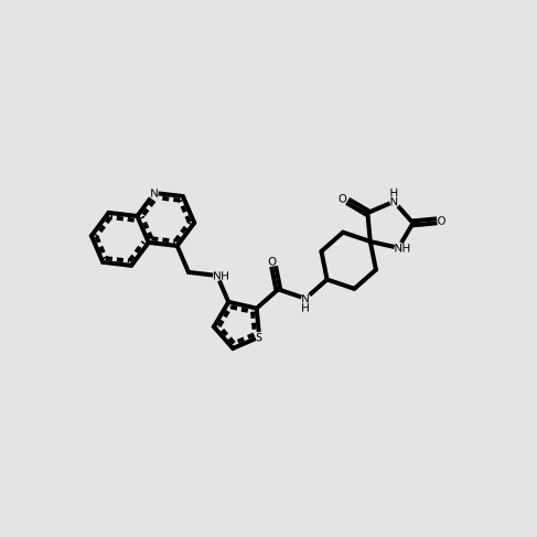 O=C1NC(=O)C2(CCC(NC(=O)c3sccc3NCc3ccnc4ccccc34)CC2)N1